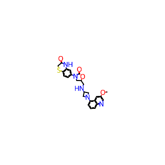 COc1cnc2cccc(N3CC(NCC4CN(c5ccc6c(c5)NC(=O)CS6)C(=O)O4)C3)c2c1